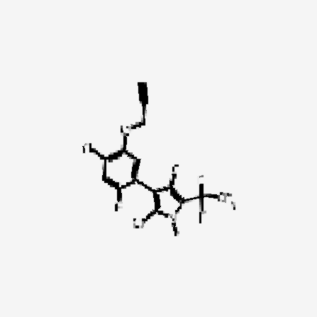 C#CCOc1cc(-c2c(Cl)c(C(F)(F)C(F)(F)F)n(C)c2Cl)c(F)cc1Cl